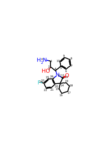 NCC(O)C(c1ccccc1)N1C(=O)C2(CCCCC2)c2ccc(F)cc21